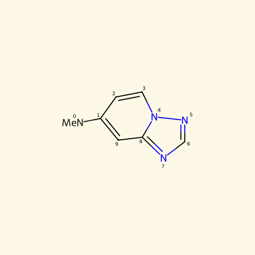 CNc1ccn2ncnc2c1